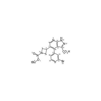 CC(C)(C)OC(=O)N1CC(c2cnc3[nH]nc(C(=O)O)c3c2-c2cccc(Br)c2)C1